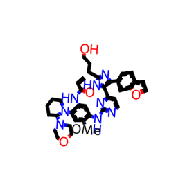 C=CC(=O)Nc1cc(Nc2nccc(-c3[nH]c(CCCO)nc3-c3ccc4ccoc4c3)n2)c(OC)cc1N1CCCCC1N1CCOCC1